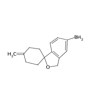 Bc1ccc2c(c1)COC21CCC(=C)CC1